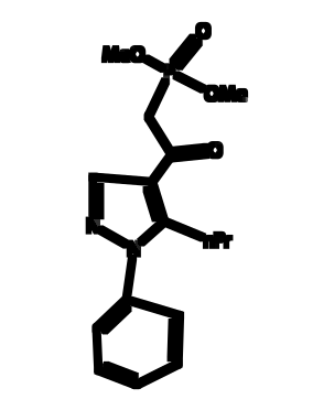 CCCc1c(C(=O)CP(=O)(OC)OC)cnn1-c1ccccc1